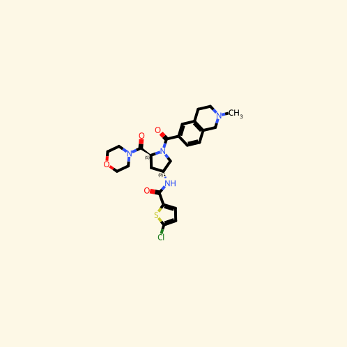 CN1CCc2cc(C(=O)N3C[C@H](NC(=O)c4ccc(Cl)s4)C[C@H]3C(=O)N3CCOCC3)ccc2C1